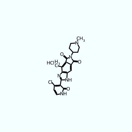 Cc1c2c(cc3[nH]c(-c4c(Cl)cc[nH]c4=O)nc13)C(=O)N(C1CCN(C)CC1)C2=O.Cl